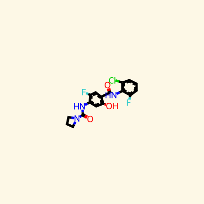 O=C(Nc1c(F)cccc1Cl)c1cc(F)c(NC(=O)N2CCC2)cc1O